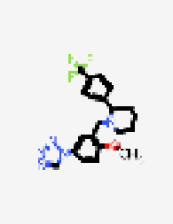 COc1ccc(-n2cnnn2)cc1CN1CCC[CH]C1c1ccc(C(F)(F)F)cc1